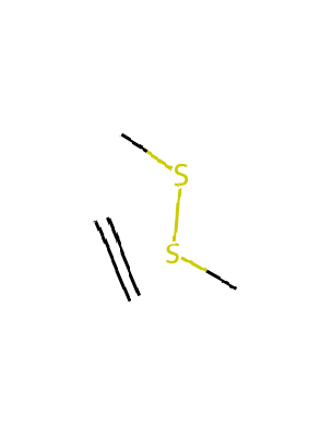 C=C.CSSC